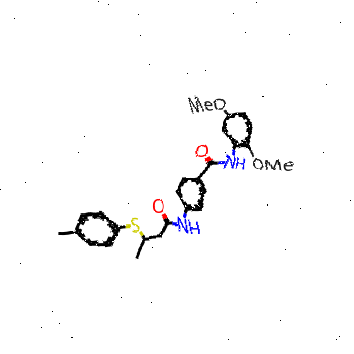 COc1ccc(OC)c(NC(=O)c2ccc(NC(=O)CC(C)Sc3ccc(C)cc3)cc2)c1